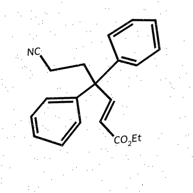 CCOC(=O)C=CC(CCC#N)(c1ccccc1)c1ccccc1